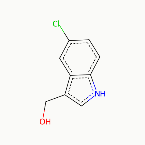 OCc1c[nH]c2ccc(Cl)cc12